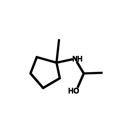 CC(O)NC1(C)CCCC1